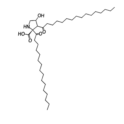 CCCCCCCCCCCCCCCC(=O)C1C(O)CN[C@@]1(C(=O)O)C(=O)CCCCCCCCCCCCCCC